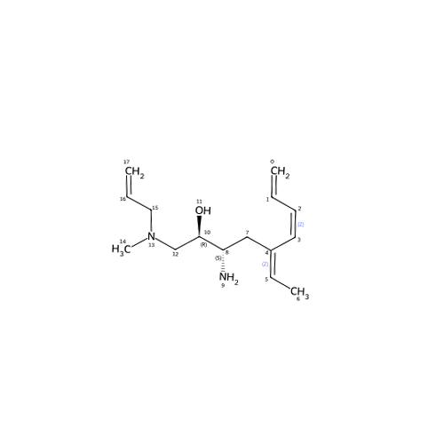 C=C/C=C\C(=C/C)C[C@H](N)[C@H](O)CN(C)CC=C